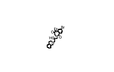 CCN1C(=O)CN(C[C@H](O)CN2CCc3ccccc3C2)C(=O)c2ccc(Br)cc21